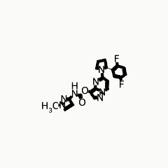 Cn1ccc(NC(=O)Oc2cnn3ccc(N4CCC[C@@H]4c4cc(F)ccc4F)nc23)n1